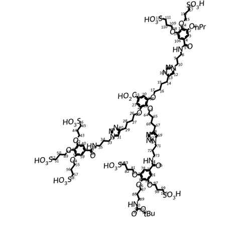 CCCOc1cc(C(=O)NCCCn2cc(CCCCOc3cc(C(=O)O)cc(OCCCCc4cn(CCCNC(=O)c5cc(OCCCS(=O)(=O)O)c(OCCCS(=O)(=O)O)c(OCCCS(=O)(=O)O)c5)nn4)c3OCCCCc3cn(CCCNC(=O)c4cc(OCCCS(=O)(=O)O)c(OCCCNC(=O)OC(C)(C)C)c(OCCCS(=O)(=O)O)c4)nn3)nn2)cc(OCCCS(=O)(=O)O)c1OCCCS(=O)(=O)O